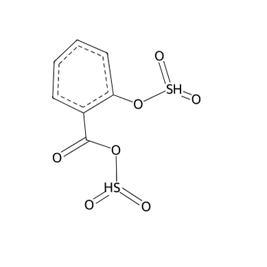 O=C(O[SH](=O)=O)c1ccccc1O[SH](=O)=O